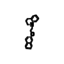 c1ccc2c(c1)CCCN2CCOc1ccc2ccccc2c1